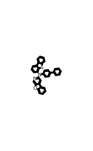 c1ccc(-c2ccc(N(c3cc4c(cn3)oc3ccccc34)c3cccc4c3sc3ccccc34)cc2)cc1